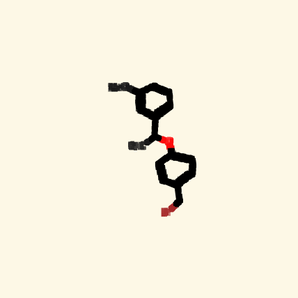 COc1cccc(C(C=O)Oc2ccc(CBr)cc2)c1